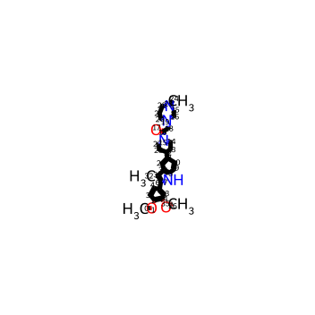 COc1ccc(-c2[nH]c3ccc(C4CCN(C(=O)CN5CCCN(C)CC5)CC4)cc3c2C)cc1OC